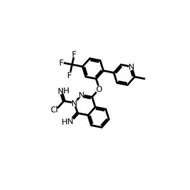 Cc1ccc(-c2ccc(C(F)(F)F)cc2Oc2nn(C(=N)Cl)c(=N)c3ccccc23)cn1